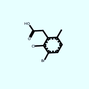 Cc1ccc(Br)c(Cl)c1CC(=O)O